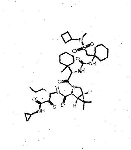 CCC[C@H](NC(=O)[C@@H]1[C@@H]2[C@H](CN1C(=O)[C@@H](NC(=O)NC1(CS(=O)(=O)N(C)C3CCC3)CCCCC1)C1(C)CCCCC1)C2(C)C)C(=O)C(=O)NC1CC1